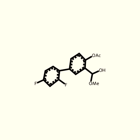 COC(O)c1cc(-c2ccc(F)cc2F)ccc1OC(C)=O